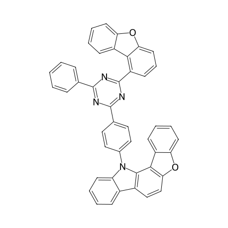 c1ccc(-c2nc(-c3ccc(-n4c5ccccc5c5ccc6oc7ccccc7c6c54)cc3)nc(-c3cccc4oc5ccccc5c34)n2)cc1